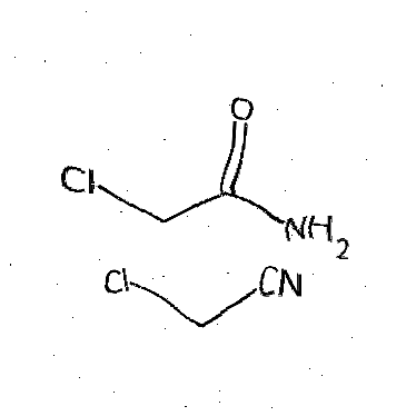 N#CCCl.NC(=O)CCl